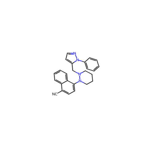 N#Cc1ccc(N2CCCCN2Cc2ccnn2-c2ccccc2)c2ccccc12